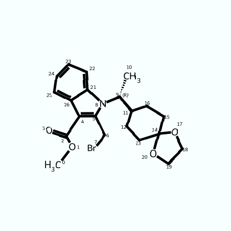 COC(=O)c1c(CBr)n([C@H](C)C2CCC3(CC2)OCCO3)c2ccccc12